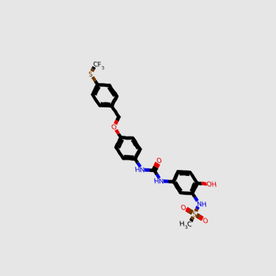 CS(=O)(=O)Nc1cc(NC(=O)Nc2ccc(OCc3ccc(SC(F)(F)F)cc3)cc2)ccc1O